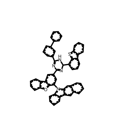 c1ccc(-c2cccc(C3=NC(c4cc(-n5c6ccccc6c6cc7ccccc7cc65)c5oc6ccccc6c5c4)=NC(c4cccc5c4sc4ccccc45)N3)c2)cc1